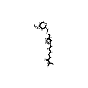 CO[C@H]1CCO[C@@H](COCc2cn(CCCCCC(=O)C(C)C)nn2)C1